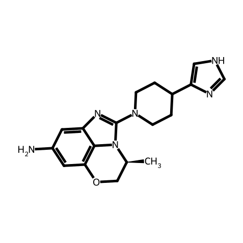 C[C@H]1COc2cc(N)cc3nc(N4CCC(c5c[nH]cn5)CC4)n1c23